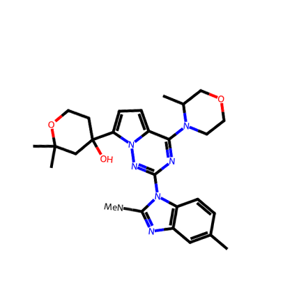 CNc1nc2cc(C)ccc2n1-c1nc(N2CCOCC2C)c2ccc(C3(O)CCOC(C)(C)C3)n2n1